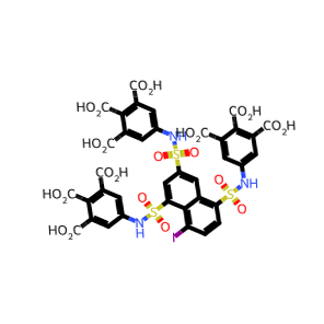 O=C(O)c1cc(NS(=O)(=O)c2cc(S(=O)(=O)Nc3cc(C(=O)O)c(C(=O)O)c(C(=O)O)c3)c3c(I)ccc(S(=O)(=O)Nc4cc(C(=O)O)c(C(=O)O)c(C(=O)O)c4)c3c2)cc(C(=O)O)c1C(=O)O